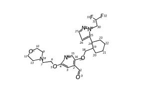 O=Cc1cc(OCCN2CCOCC2)ncc1OCC1CCCCC1c1ccnn1CC(F)F